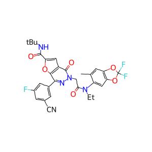 CCN(C(=O)Cn1nc(-c2cc(F)cc(C#N)c2)c2oc(C(=O)NC(C)(C)C)cc2c1=O)c1cc2c(cc1C)OC(F)(F)O2